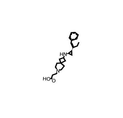 CCC(=Cc1ccccc1)[C@@H]1C[C@H]1NC1CC2(CCN(CCC(=O)O)CC2)C1